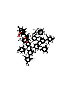 Cc1cc(C)c(-c2cc3c4c(c2)N2c5ccccc5[Si](C)(C)c5cccc(c52)B4c2cc4c(cc2N3)N(c2c(C)cc(C)cc2C)c2cc(-c3c(C)cc(C)cc3C)cc3c2B4c2cc4c(cc2O3)N(c2c(C)cc(C)cc2C)c2cc(-c3c(C)cc(C)cc3C)cc3c2B4c2cccc4c2N3c2ccccc2[Si]4(C)C)c(C)c1